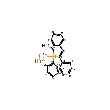 Br.CC[PH](P)(C(=Cc1ccccc1)c1ccccc1)c1ccccc1